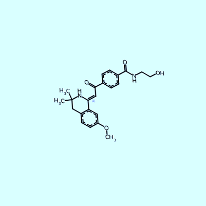 COc1ccc2c(c1)/C(=C/C(=O)c1ccc(C(=O)NCCO)cc1)NC(C)(C)C2